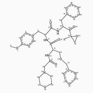 COc1ccc(CC(NC(=O)C(COCc2ccccc2)NC(=O)CN2CCOCC2)C(=O)NC(Cc2ccccc2)C(=O)C2(C)CO2)cc1